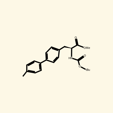 COC(=O)[C@H](Cc1ccc(-c2ccc(C)cc2)cc1)NC(=O)OC(C)(C)C